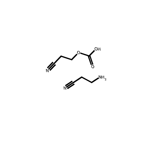 N#CCCN.N#CCCOC(=O)O